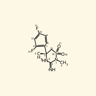 CN1C(=N)N[C@](C)(c2ccc(F)cc2F)CS1(=O)=O